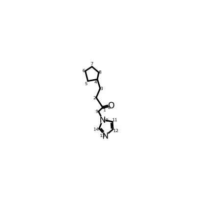 O=C(CCC1CCCC1)Cn1ccnc1